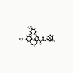 Cc1ccc2c(c1)CCCc1c(C(=O)NCC3CCC4CC3C4(C)C)nn(C3=CCC(C)C=C3Cl)c1-2